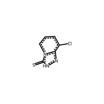 S=c1[nH]nc2c(Cl)cccn12